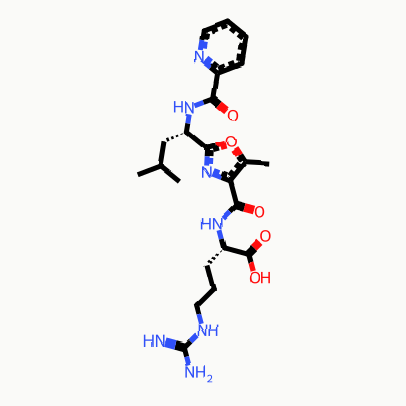 Cc1oc([C@H](CC(C)C)NC(=O)c2ccccn2)nc1C(=O)N[C@@H](CCCNC(=N)N)C(=O)O